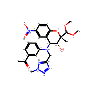 COC(OC)[C@@]1(C)Oc2ccc([N+](=O)[O-])cc2[C@H](N(Cc2nnn(C)n2)c2cccc(C(C)=O)c2)[C@H]1O